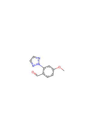 COc1ccc(C=O)c(-n2nccn2)c1